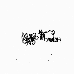 COc1cc(-c2nc3n4c(cnc(C)c24)/C=C/CCOCCC(O)N[C@@H]2CC[C@@H]3C2)ccc1NC(=O)c1cc2c(OC)cccc2n1C